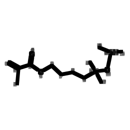 C=C(C)C(=O)OCCCC[Si](C)(C)O[SiH](C)C